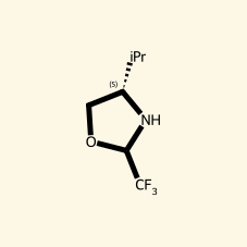 CC(C)[C@H]1COC(C(F)(F)F)N1